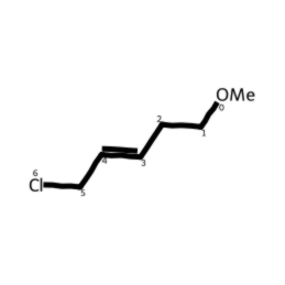 COCCC=CCCl